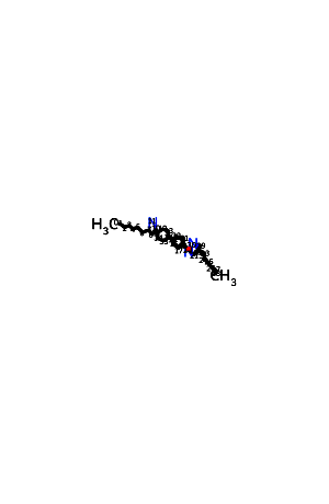 CCCCCCCCCC1(C#N)CCC(c2ccc(-c3ncc(CCCCCC)cn3)cc2)CC1